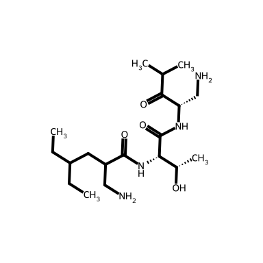 CCC(CC)CC(CN)C(=O)N[C@H](C(=O)N[C@@H](CN)C(=O)C(C)C)[C@H](C)O